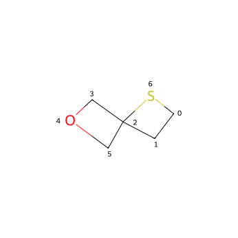 C1CC2(COC2)S1